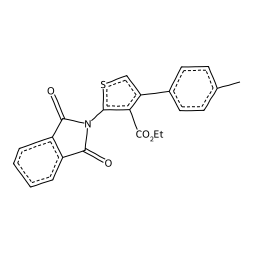 CCOC(=O)c1c(-c2ccc(C)cc2)csc1N1C(=O)c2ccccc2C1=O